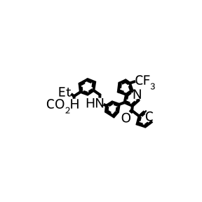 CCC(C(=O)O)c1cccc(CNc2cccc(-c3c(C(=O)c4ccccc4)cnc4c(C(F)(F)F)cccc34)c2)c1